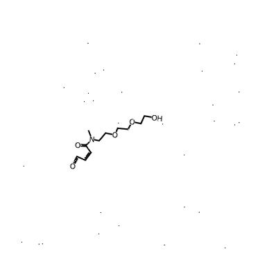 CN(CCOCCOCCO)C(=O)/C=C\C=O